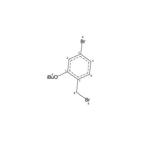 CC(C)COc1cc(Br)ccc1CBr